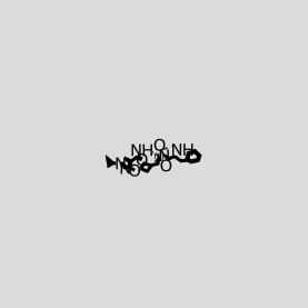 CNC(Cc1ccccc1)C(=O)N(C=O)[C@@H](C)CC1CC(Oc2nn(C3CC3)cc2C(N)=O)C1